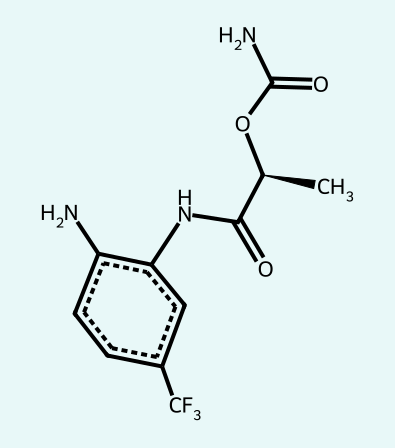 C[C@H](OC(N)=O)C(=O)Nc1cc(C(F)(F)F)ccc1N